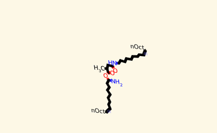 CCCCCCCC/C=C\CCCCCCCCNC(=O)CC(C)C(=O)OC(N)CCCCCCC/C=C\CCCCCCCC